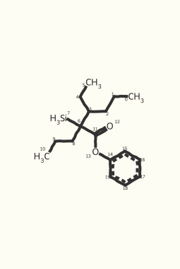 CCCC(CC)C([SiH3])(CCC)C(=O)Oc1ccccc1